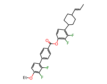 C/C=C/C1CCC(c2ccc(OC(=O)c3ccc(-c4ccc(OCC)c(F)c4F)cc3)c(F)c2F)CC1